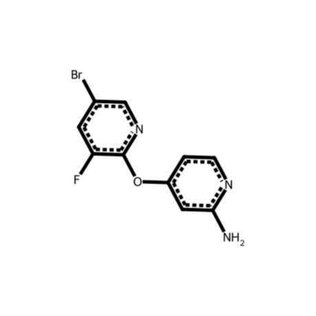 Nc1cc(Oc2ncc(Br)cc2F)ccn1